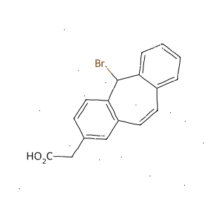 O=C(O)Cc1ccc2c(c1)C=Cc1ccccc1C2Br